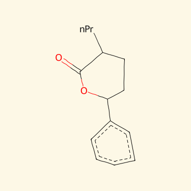 CCCC1CCC(c2ccccc2)OC1=O